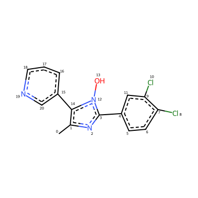 Cc1nc(-c2ccc(Cl)c(Cl)c2)n(O)c1-c1cccnc1